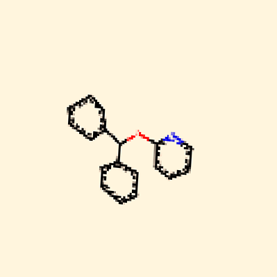 c1ccc(C(Oc2ccccn2)c2ccccc2)cc1